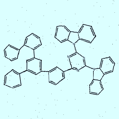 c1ccc(-c2cc(-c3cccc(-c4nc(-n5c6ccccc6c6ccccc65)nc(-n5c6ccccc6c6ccccc65)n4)c3)cc(-c3ccccc3-c3ccccc3)c2)cc1